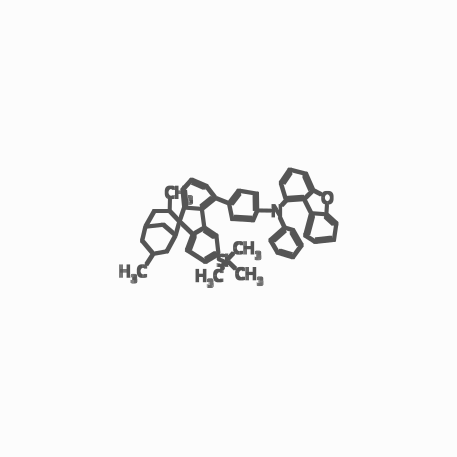 CC1CC2CC(C)C3(c4ccc([Si](C)(C)C)cc4-c4c(-c5ccc(N(c6ccccc6)c6cccc7oc8ccccc8c67)cc5)cccc43)C(C1)C2